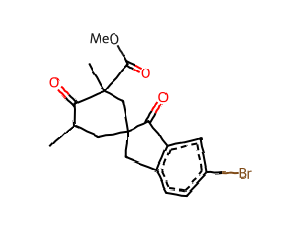 COC(=O)C1(C)CC2(Cc3ccc(Br)cc3C2=O)CC(C)C1=O